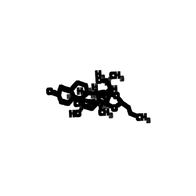 CCCC1O[C@@H]2C[C@H]3[C@@H]4CCC5=CC(=O)C=C[C@]5(C)[C@@]4(N)[C@@H](O)C[C@]3(C)[C@]2(C(=O)CN(C)C)O1